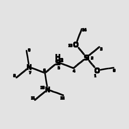 CO[Si](C)(C[SiH2]C(N(C)C)N(C)C)OC